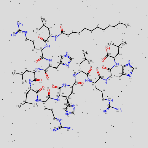 CCCCCCCCCCCC(=O)N[C@H](CC(C)C)C(=O)N[C@@H](CCCNC(=N)N)C(=O)N[C@@H](Cc1c[nH]cn1)C(=O)N[C@H](CC(C)C)C(=O)N[C@H](CC(C)C)C(=O)N[C@@H](CCCNC(=N)N)C(=O)N[C@@H](Cc1c[nH]cn1)C(=O)N[C@H](CC(C)C)C(=O)N[C@H](CC(C)C)C(=O)N[C@@H](CCCNC(=N)N)C(=O)N[C@@H](Cc1c[nH]cn1)C(=O)N[C@H](CC(C)C)C(=O)O